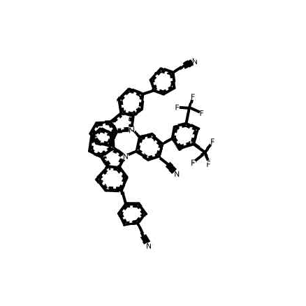 N#Cc1ccc(-c2ccc3c4ccccc4n(-c4cc(C#N)c(-c5cc(C(F)(F)F)cc(C(F)(F)F)c5)cc4-n4c5ccccc5c5ccc(-c6ccc(C#N)cc6)cc54)c3c2)cc1